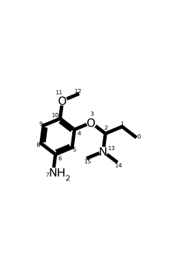 CCC(Oc1cc(N)ccc1OC)N(C)C